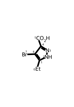 CCc1[nH]nc(C(=O)O)c1Br